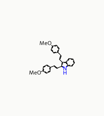 COc1ccc(/C=C/c2[nH]c3ccccc3c2/C=C/c2ccc(OC)cc2)cc1